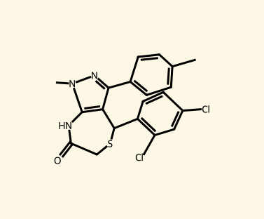 Cc1ccc(-c2nn(C)c3c2C(c2ccc(Cl)cc2Cl)SCC(=O)N3)cc1